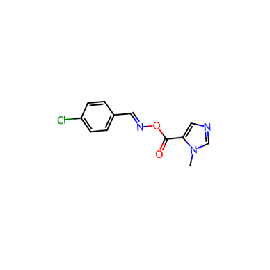 Cn1cncc1C(=O)ON=Cc1ccc(Cl)cc1